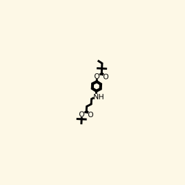 CCC(C)(C)C(=O)Oc1ccc(NCCCC(=O)OC(C)(C)C)cc1